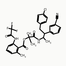 Cc1cccc(NC(=O)C(F)(F)F)c1C(=O)OC(C)(C)C(=O)NC(C)C(Cc1ccc(Cl)cc1)c1cccc(C#N)c1